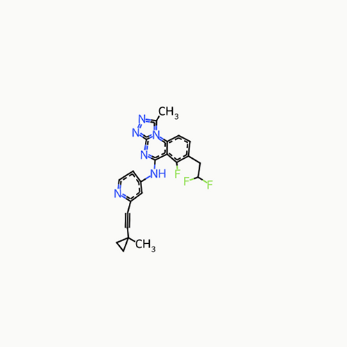 Cc1nnc2nc(Nc3ccnc(C#CC4(C)CC4)c3)c3c(F)c(CC(F)F)ccc3n12